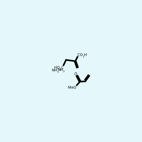 C=C(CC(=O)O)C(=O)O.C=CC(=O)OC.N.N